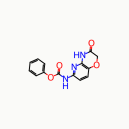 O=C1COc2ccc(NC(=O)Oc3ccccc3)nc2N1